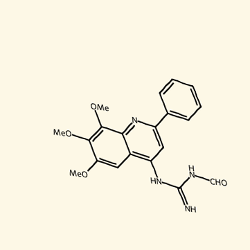 COc1cc2c(NC(=N)NC=O)cc(-c3ccccc3)nc2c(OC)c1OC